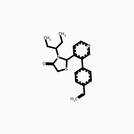 C=Cc1ccc(-c2cnccc2C2SCC(=O)N2C(CC)CC)cc1